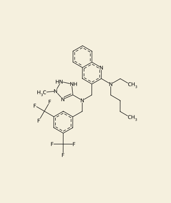 CCCCN(CC)c1nc2ccccc2cc1CN(Cc1cc(C(F)(F)F)cc(C(F)(F)F)c1)C1=NN(C)NN1